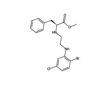 COC(=O)[C@H](Cc1ccccc1)NCCNc1cc(Cl)ccc1Br